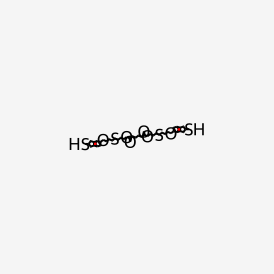 O=C(CCCCC(=O)OCCCSCCCOC1CC2CC1C1CC(S)CC21)OCCCSCCCOC1CC2CC1C1CC(S)CC21